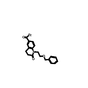 CCC(=O)c1ccc2c(c1)CCC(=O)N2CCOCc1ccccc1